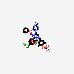 CC(=O)N1CCN(C2=C[N+](Cc3cc(C)c(OC(=O)C(C)C)c(C)c3)(CC3OCCO3)C(c3ccc(Cl)cc3Cl)N2COc2ccccc2)CC1.[Br-]